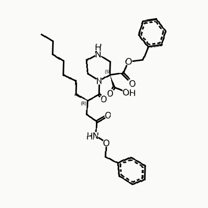 CCCCCCC[C@H](CC(=O)NOCc1ccccc1)C(=O)N1CCNC[C@]1(C(=O)O)C(=O)OCc1ccccc1